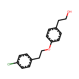 OCCc1ccc(OCCc2ccc(Cl)cc2)cc1